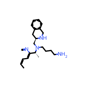 C=N/C(=C\C=C/C)[C@@H](C)N(CCCCN)C[C@H]1Cc2ccccc2CN1